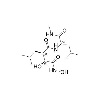 CNC(=O)[C@H](CC(C)C)NC(=O)[C@H](CC(C)C)[C@H](O)C(=O)NO